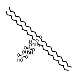 CCCCCCCCCCCCOCCCCCCCCCCCC.CCCCCCCCCCCCOCCCCCCCCCCCC.N.O=S(=O)(O)O.O=S(=O)(O)O